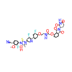 COc1c(C#N)ccc(N2C(=S)N(c3cnc(-c4ccc(OCCNC(=O)COc5cccc6c5C(=O)N(C5CCC(=O)NC5=O)C6=O)c(F)c4)c(F)c3)C(C)(C)C2O)c1F